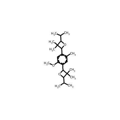 COc1cc(C2OC(C(C)C)C2(C)C)c(C)cc1C1OC(C(C)C)C1(C)C